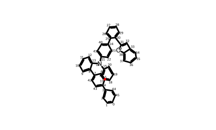 c1ccc(-c2ccc(-c3ccccc3N(c3ccccc3)c3ccc(-c4ccccc4-c4cc5ccccc5o4)cc3)cc2)cc1